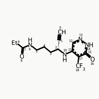 C#C[C@@H](CCCNC(=O)CC)Nc1cn[nH]c(=O)c1C(F)(F)F